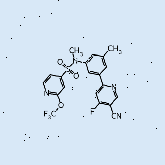 Cc1cc(-c2cc(F)c(C#N)cn2)cc(N(C)S(=O)(=O)c2ccnc(OC(F)(F)F)c2)c1